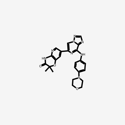 CC1(C)Oc2cc(-c3cn4ncnc4c(Nc4ccc(N5CCOCC5)cc4)n3)cnc2NC1=O